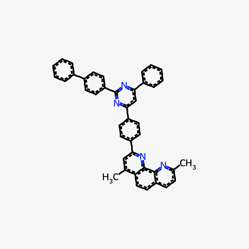 Cc1ccc2ccc3c(C)cc(-c4ccc(-c5cc(-c6ccccc6)nc(-c6ccc(-c7ccccc7)cc6)n5)cc4)nc3c2n1